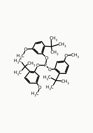 COc1ccc(C(C)(C)C)c(OP(Oc2cc(OC)ccc2C(C)(C)C)Oc2cc(OC)ccc2C(C)(C)C)c1